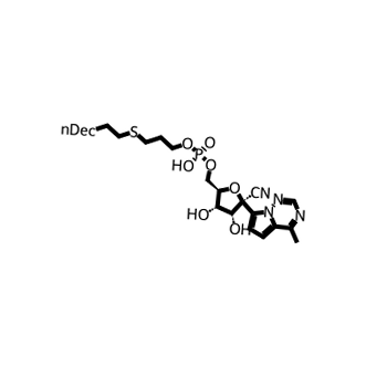 CCCCCCCCCCCCSCCCOP(=O)(O)OC[C@H]1O[C@@](C#N)(c2ccc3c(C)ncnn23)[C@H](O)[C@@H]1O